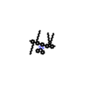 CCCCCCCCc1cc(C)ccc1-c1ccc(-c2ccc(-c3ccc4c(c3)C(CCCCCCCC)(CCCCCCCC)c3cc(C)ccc3-4)c3nc(-c4ccccc4)c(-c4ccccc4)nc23)cc1CCCCCCCC